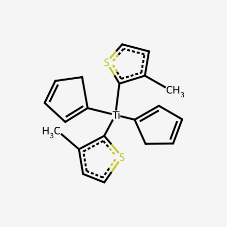 Cc1ccs[c]1[Ti]([C]1=CC=CC1)([C]1=CC=CC1)[c]1sccc1C